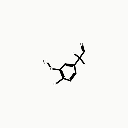 COc1cc(C(F)(F)C=O)ccc1Cl